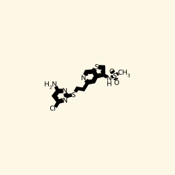 CS(=O)(=O)Nc1csc2cnc(CCSc3nc(N)cc(Cl)n3)cc12